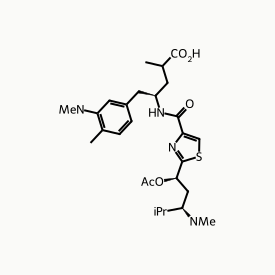 CNc1cc(C[C@@H](CC(C)C(=O)O)NC(=O)c2csc([C@@H](C[C@@H](NC)C(C)C)OC(C)=O)n2)ccc1C